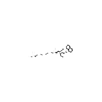 C[C@H]1C=C2C=C[C@H](C)[C@H](CC[C@@H]3C[C@@H](O)CC(=O)O3)[C@H]2[C@@H](OC(=O)C(C)(C)CCC(=O)NCCOCCOCCOCC(=O)NCC(C)(C)C)C1